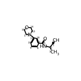 C#CC(C)NC(=O)c1cccc(N2CCOCC2)c1